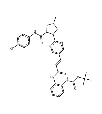 CN1CC(C(=O)Nc2ccc(Cl)cc2)C(c2ncc(C=CC(=O)Nc3ccccc3NC(=O)OC(C)(C)C)cn2)C1